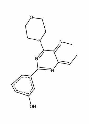 C/C=C1/N=C(c2cccc(O)c2)N=C(N2CCOCC2)/C1=N/C